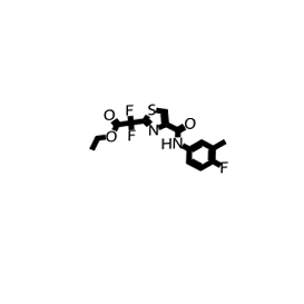 CCOC(=O)C(F)(F)c1nc(C(=O)Nc2ccc(F)c(C)c2)cs1